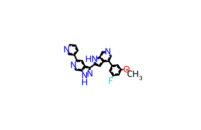 COc1cc(F)cc(-c2cncc3[nH]c(-c4n[nH]c5cnc(-c6cccnc6)cc45)cc23)c1